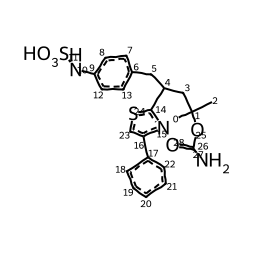 CC(C)(CC(Cc1ccc(NS(=O)(=O)O)cc1)c1nc(-c2ccccc2)cs1)OC(N)=O